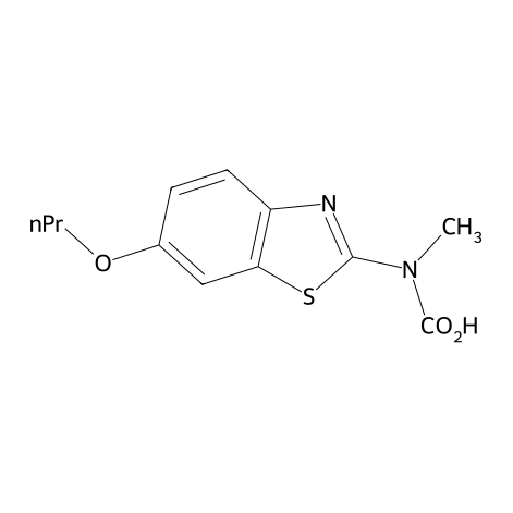 CCCOc1ccc2nc(N(C)C(=O)O)sc2c1